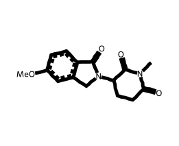 COc1ccc2c(c1)CN(C1CCC(=O)N(C)C1=O)C2=O